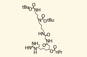 CCCC(=O)OC(CCCCNC(=N)N)CC(=O)NCC(=O)NCCCCN(CCCNC(=O)OC(C)(C)C)C(=O)OC(C)(C)C